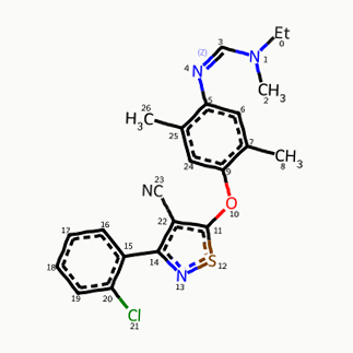 CCN(C)/C=N\c1cc(C)c(Oc2snc(-c3ccccc3Cl)c2C#N)cc1C